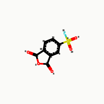 O=C1OC(=O)c2cc(S(=O)(=O)F)ccc21